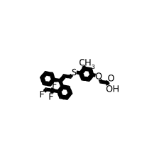 Cc1cc(OCC(=O)O)ccc1SC/C=C(/c1ccccc1)c1ccccc1C(F)(F)CF